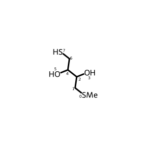 CSCC(O)C(O)CS